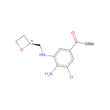 COC(=O)c1cc(Cl)c(N)c(NC[C@@H]2CCO2)c1